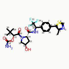 Cc1ncsc1-c1ccc(C(NC(=O)[C@@H]2C[C@@H](O)CN2C(=O)[C@@H](OC(N)=O)C(C)(C)C)C(F)(F)F)cc1